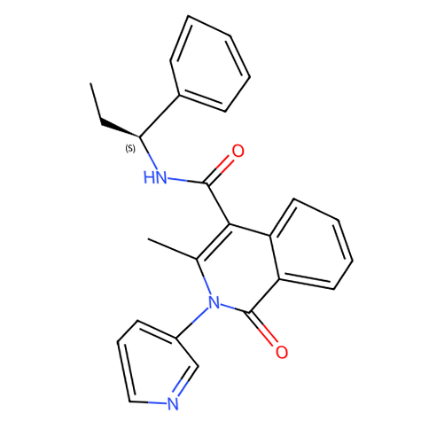 CC[C@H](NC(=O)c1c(C)n(-c2cccnc2)c(=O)c2ccccc12)c1ccccc1